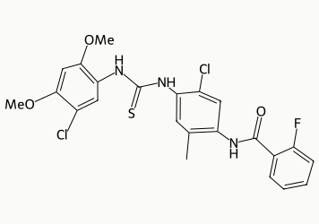 COc1cc(OC)c(NC(=S)Nc2cc(C)c(NC(=O)c3ccccc3F)cc2Cl)cc1Cl